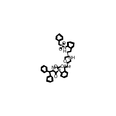 COC(=O)N(C(=O)[C@@H](N)C(c1ccccc1)c1ccccc1)c1ccccc1CC[C@@H]1CN[C@H](CCc2ccccc2NS(=O)(=O)Cc2ccccc2)CO1